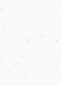 CC1(C)C2=Cc3c(c4cc(B(O)O)ccc4n3-c3ccccc3)CC2c2ccccc21